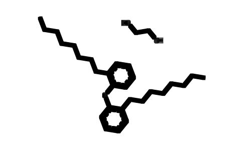 CCCCCCCCc1ccccc1Oc1ccccc1CCCCCCCC.OCCO